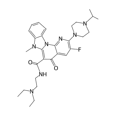 CCN(CC)CCNC(=O)c1c(=O)c2cc(F)c(N3CCN(C(C)C)CC3)nc2n2c3ccccc3n(C)c12